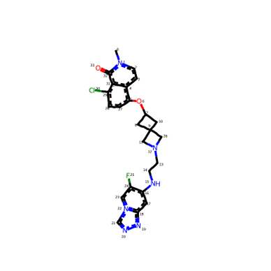 Cn1ccc2c(OC3CC4(C3)CN(CCNc3cc5nncn5cc3F)C4)ccc(Cl)c2c1=O